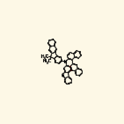 CC1(C)c2ccc(N(c3ccc4c(c3)sc3ccccc34)c3ccc4ccccc4c3-c3ccc4ccccc4c3)cc2-c2cc3ccccc3cc21